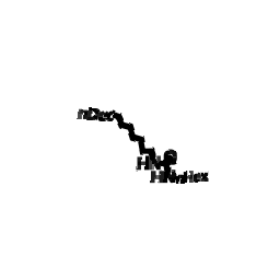 CCCCCCCCCCCCCCCCCNC(=O)NCCCCCC